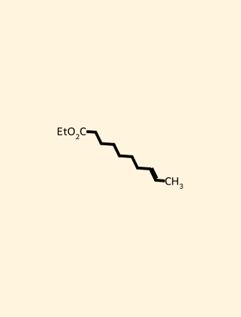 CC=CCCCCCCC(=O)OCC